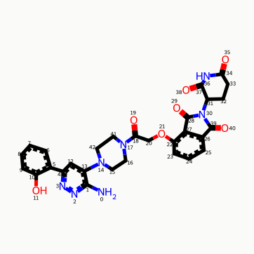 Nc1nnc(-c2ccccc2O)cc1N1CCN(C(=O)COc2cccc3c2C(=O)N(C2CCC(=O)NC2=O)C3=O)CC1